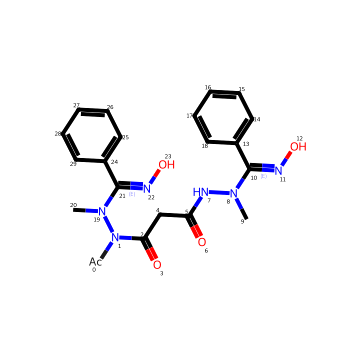 CC(=O)N(C(=O)CC(=O)NN(C)/C(=N/O)c1ccccc1)N(C)/C(=N/O)c1ccccc1